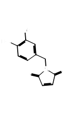 CCCCc1cc(CN2C(=O)C=CC2=O)ccc1O